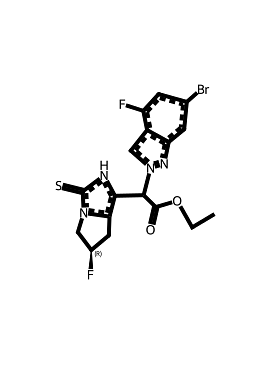 CCOC(=O)C(c1[nH]c(=S)n2c1C[C@@H](F)C2)n1cc2c(F)cc(Br)cc2n1